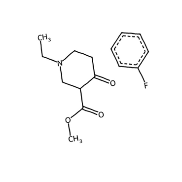 CCN1CCC(=O)C(C(=O)OC)C1.Fc1ccccc1